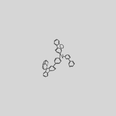 c1ccc(-c2cccc(N(c3ccc(-c4ccc5c(c4)C4(c6ccccc6-5)C5CC6CC(C5)CC4C6)cc3)c3ccc4c(c3)oc3ccccc34)c2)cc1